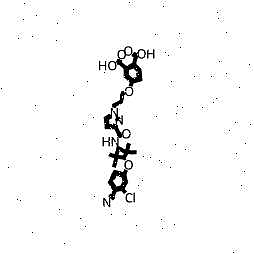 CC1(C)[C@H](NC(=O)c2ccn(CCCOc3ccc(C(=O)O)c(C(=O)O)c3)n2)C(C)(C)[C@H]1Oc1ccc(C#N)c(Cl)c1